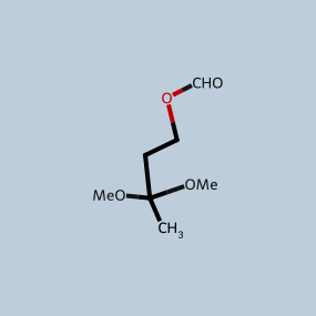 COC(C)(CCOC=O)OC